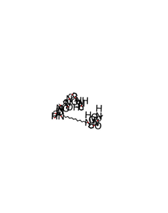 C=C1CCC(N2C(=O)c3cccc(NCCCCCCCCCCCCNC(=O)C45CC6CC(CC(Cn7ncc(-c8ccc(N9CCc%10cccc(C(=O)Nc%11nc%12ccccc%12s%11)c%10C9)nc8C(=O)O)c7C)(C6)C4)C5)c3C2=O)C(=O)N1